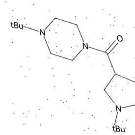 CC(C)(C)N1CCN(C(=O)C2CCN(C(C)(C)C)C2)CC1